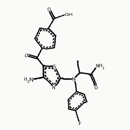 CC(C(N)=O)N(c1ccc(F)cc1)c1nc(N)c(C(=O)c2ccc(C(=O)O)cc2)s1